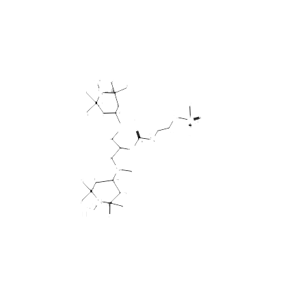 CN(CC(COC1CC(C)(C)N(O)C(C)(C)C1)OC(=O)NCCSS(C)(=O)=O)C1CC(C)(C)N(O)C(C)(C)C1